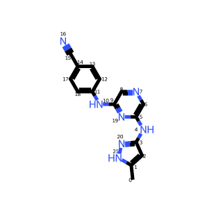 Cc1cc(Nc2cncc(Nc3ccc(C#N)cc3)n2)n[nH]1